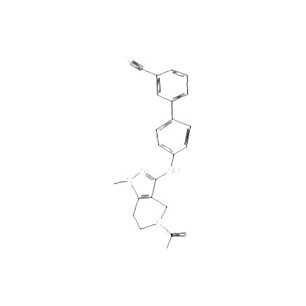 CC(=O)N1CCc2c(c(Nc3ccc(-c4cccc(C#N)c4)cc3)nn2C)C1